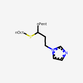 CCCCCCCCSC(CCCCC)CCn1ccnc1